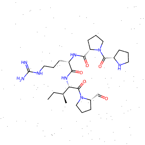 CC[C@H](C)[C@H](NC(=O)[C@H](CCCNC(=N)N)NC(=O)[C@@H]1CCCN1C(=O)[C@@H]1CCCN1)C(=O)N1CCC[C@H]1[C]=O